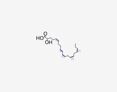 CC/C=C\C/C=C\C/C=C\C=C\CC/C=C\CCC(O)C(=O)O